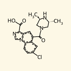 C[C@@H]1CN(C(=O)c2cc3c(C(=O)O)ncn3c3ccc(Cl)cc23)C[C@@H](C)N1